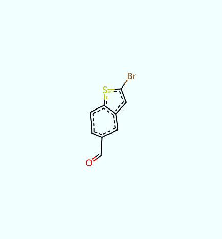 O=Cc1ccc2sc(Br)cc2c1